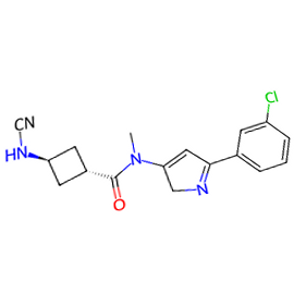 CN(C1=CC(c2cccc(Cl)c2)=NC1)C(=O)[C@H]1C[C@H](NC#N)C1